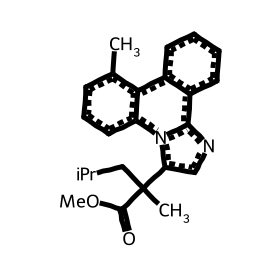 COC(=O)C(C)(CC(C)C)c1cnc2c3ccccc3c3c(C)cccc3n12